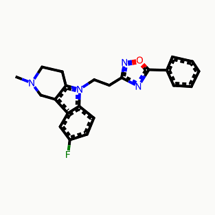 CN1CCc2c(c3cc(F)ccc3n2CCc2noc(-c3ccccc3)n2)C1